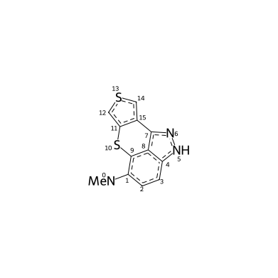 CNc1ccc2[nH]nc3c2c1Sc1cscc1-3